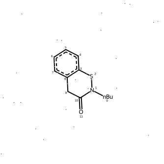 CCCCN1Sc2ccccc2CC1=O